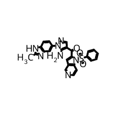 Cc1nc2cc(-n3ncc(C(=O)c4cc5cnccc5n4S(=O)(=O)c4ccccc4)c3N)ccc2[nH]1